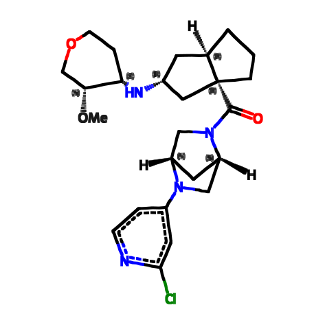 CO[C@@H]1COCC[C@@H]1N[C@@H]1C[C@H]2CCC[C@@]2(C(=O)N2C[C@@H]3C[C@H]2CN3c2ccnc(Cl)c2)C1